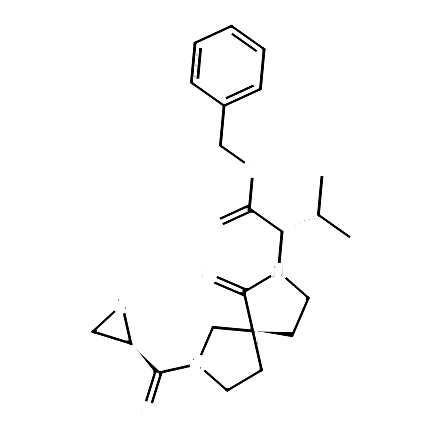 CC(C)[C@@H](C(=O)OCc1ccccc1)N1CC[C@]2(CCN(C(=O)[C@H]3CN3)C2)C1=O